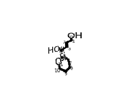 OCC=CC(O)[SiH]1CCCCO1